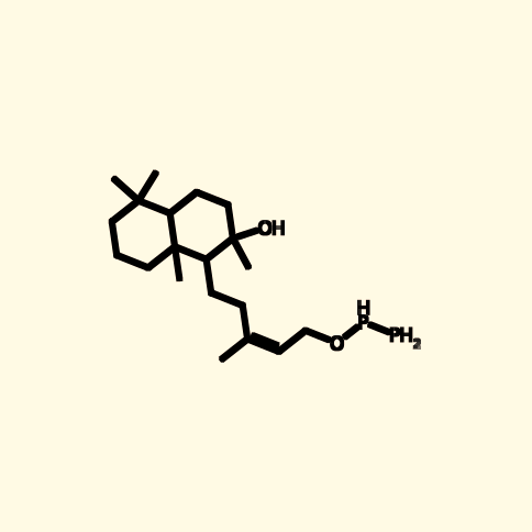 C/C(=C/COPP)CCC1C(C)(O)CCC2C(C)(C)CCCC21C